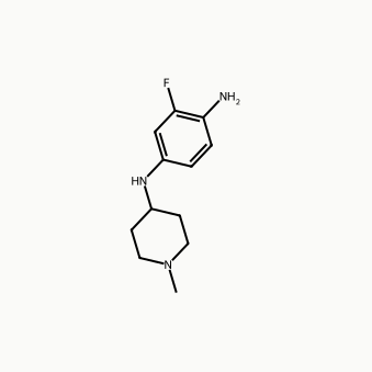 CN1CCC(Nc2ccc(N)c(F)c2)CC1